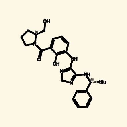 CC(C)(C)[C@@H](Nc1nsnc1Nc1cccc(C(=O)N2CCC[C@H]2CO)c1O)c1ccccc1